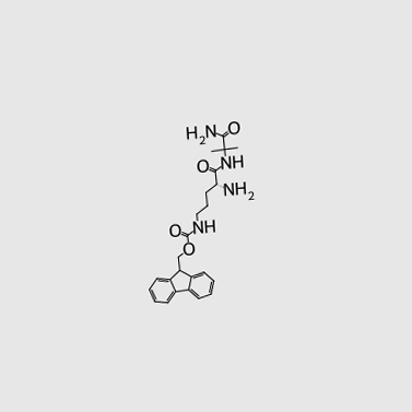 CC(C)(NC(=O)[C@H](N)CCCNC(=O)OCC1c2ccccc2-c2ccccc21)C(N)=O